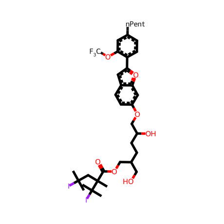 CCCCCc1ccc(-c2cc3ccc(OCC(O)CCC(CO)COC(=O)C(C)(CC(C)(C)I)C(C)(C)I)cc3o2)c(OC(F)(F)F)c1